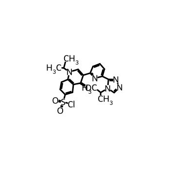 CC(C)n1cnnc1-c1cccc(-c2cn(C(C)C)c3ccc(S(=O)(=O)Cl)cc3c2=O)n1